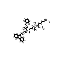 NCCCC[C@H](N)C(=O)NCCCC[C@H](NC(=O)OCC1c2ccccc2-c2ccccc21)C(=O)OCc1ccccc1